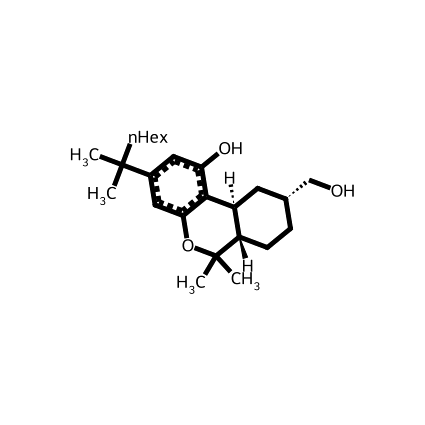 CCCCCCC(C)(C)c1cc(O)c2c(c1)OC(C)(C)[C@H]1CC[C@@H](CO)C[C@H]21